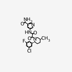 C[C@H]1CC[C@@H](c2cc(F)cc(Cl)c2)N(C(=O)C(=O)Nc2cncc(C(N)=O)c2)C1